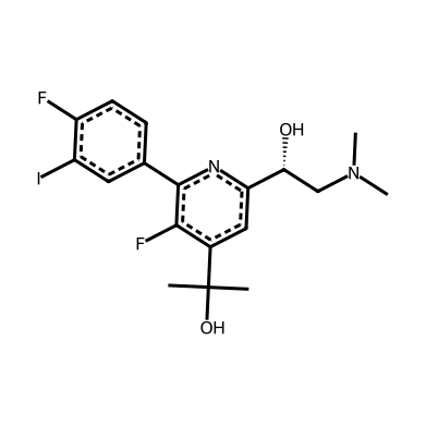 CN(C)C[C@@H](O)c1cc(C(C)(C)O)c(F)c(-c2ccc(F)c(I)c2)n1